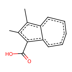 Cc1c2cccccc-2c(C(=O)O)c1C